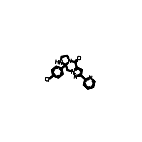 O=C1c2cc(-c3ccccn3)nn2CC2(c3ccc(Cl)cc3)NCCN12